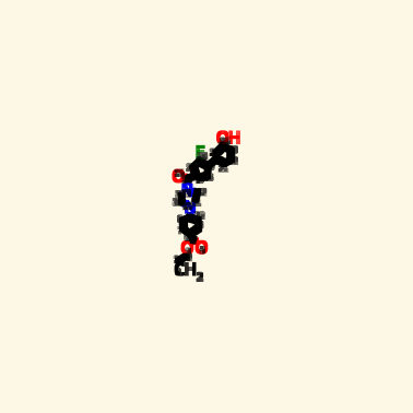 C=CCOC(=O)c1ccc(N2CCN(C(=O)c3ccc(-c4cccc(O)c4)c(F)c3)CC2)cc1